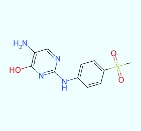 CS(=O)(=O)c1ccc(Nc2ncc(N)c(O)n2)cc1